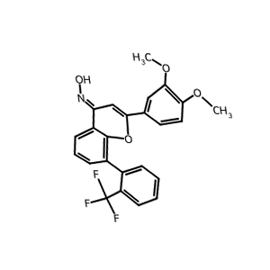 COc1ccc(-c2c/c(=N\O)c3cccc(-c4ccccc4C(F)(F)F)c3o2)cc1OC